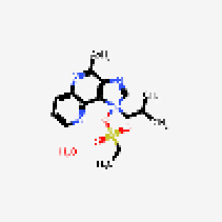 CCS(=O)(=O)O[N+]1(CC(C)C)C=Nc2c([AsH2])nc3cccnc3c21.O